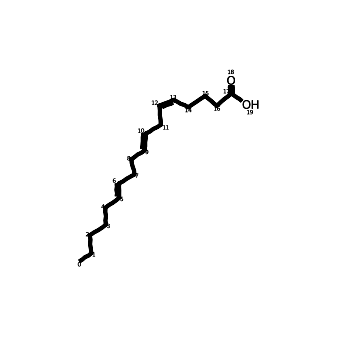 CCCCCC=CCCC=CC/C=C\CCCC(=O)O